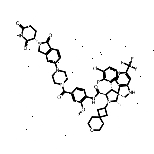 COc1cc(C(=O)N2CCN(c3ccc4c(c3)CN([C@H]3CCC(=O)NC3=O)C4=O)CC2)ccc1NC(=O)[C@H]1[C@H](c2cccc(Cl)c2F)[C@]2(CNc3cc(C(F)(F)F)ncc32)[C@H](C)N1C1CC2(CCOCC2)C1